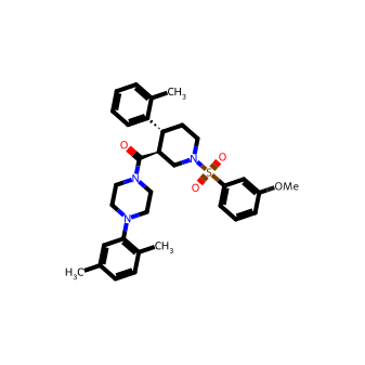 COc1cccc(S(=O)(=O)N2CC[C@@H](c3ccccc3C)[C@H](C(=O)N3CCN(c4cc(C)ccc4C)CC3)C2)c1